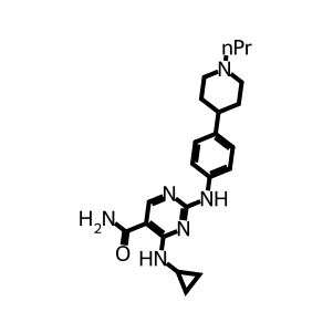 CCCN1CCC(c2ccc(Nc3ncc(C(N)=O)c(NC4CC4)n3)cc2)CC1